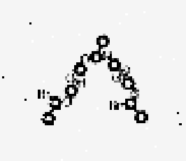 O=S(=O)(c1ccc(Oc2cc(Br)cc(-c3ccccc3)c2)cc1)c1ccc(Oc2ccc(Oc3ccc(S(=O)(=O)c4ccc(Oc5cc(Br)cc(-c6ccccc6)c5)cc4)cc3)c(-c3ccccc3)c2)cc1